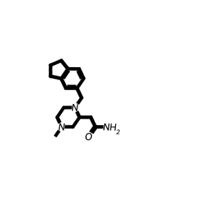 CN1CCN(Cc2ccc3c(c2)CCC3)C(CC(N)=O)C1